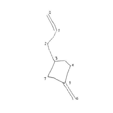 C=CCC1CC(=C)C1